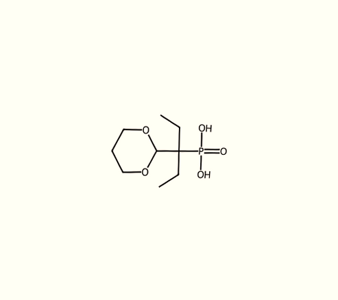 CCC(CC)(C1OCCCO1)P(=O)(O)O